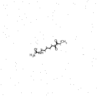 CCC(=O)C(=O)CCCCCNC(C)=O